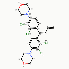 C=CC=C(c1ccc(N2CCOCC2)c(Cl)c1Cl)c1ccc(N2CCOCC2)c(Cl)c1Cl